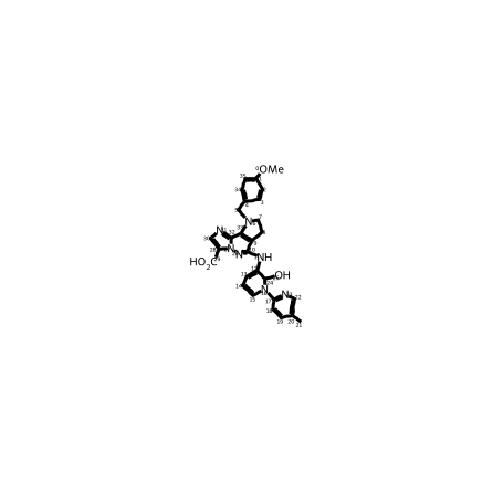 COc1ccc(CN2CCc3c(NC4=CC=CN(c5ccc(C)cn5)C4O)nn4c(C(=O)O)cnc4c32)cc1